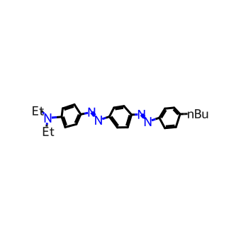 CCCCc1ccc(N=Nc2ccc(N=Nc3ccc(N(CC)CC)cc3)cc2)cc1